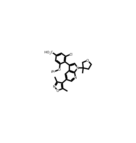 Cc1noc(C)c1-c1cnc2c(c1)c(-c1c(Cl)cc(C(=O)O)cc1OC(C)C)cn2C1(C)CCOC1